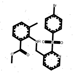 COC(=O)c1cccc(C)c1NCc1cccnc1S(=O)(=O)c1ccc(Br)cc1